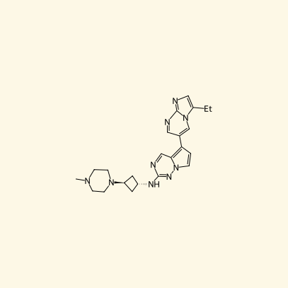 CCc1cnc2ncc(-c3ccn4nc(N[C@H]5C[C@H](N6CCN(C)CC6)C5)ncc34)cn12